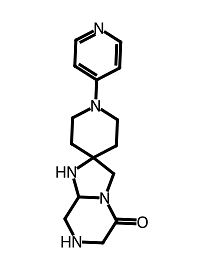 O=C1CNCC2NC3(CCN(c4ccncc4)CC3)CN12